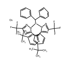 CC(C)(C)c1ccnc(-c2nc(C(F)(F)F)nn2P(C(c2ccccc2)c2ccccc2)n2nc(C(F)(F)F)nc2-c2cc(C(C)(C)C)ccn2)c1.[Os]